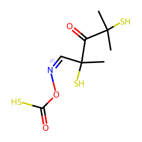 CC(C)(S)C(=O)C(C)(S)/C=N\OC(=O)S